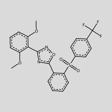 COc1cccc(OC)c1-c1noc(-c2ccccc2S(=O)(=O)c2ccc(C(F)(F)F)cc2)n1